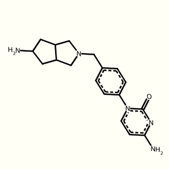 Nc1ccn(-c2ccc(CN3CC4CC(N)CC4C3)cc2)c(=O)n1